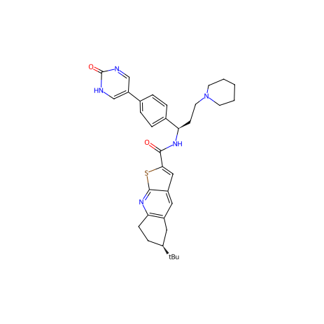 CC(C)(C)[C@H]1CCc2nc3sc(C(=O)N[C@H](CCN4CCCCC4)c4ccc(-c5cnc(=O)[nH]c5)cc4)cc3cc2C1